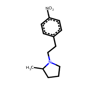 CC1CCCN1CCc1ccc([N+](=O)[O-])cc1